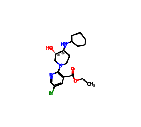 CCOC(=O)c1cc(Br)cnc1N1CC[C@H](NC2CCCCC2)[C@@H](O)C1